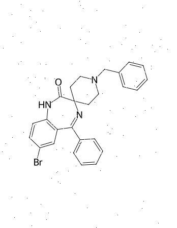 O=C1Nc2ccc(Br)cc2C(c2ccccc2)=NC12CCN(Cc1ccccc1)CC2